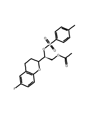 CC(=O)OC[C@H](OS(=O)(=O)c1ccc(C)cc1)C1CCc2cc(F)ccc2O1